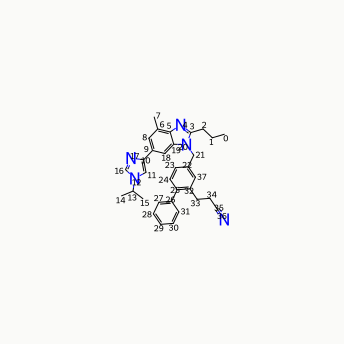 CCCc1nc2c(C)cc(-c3cn(C(C)C)cn3)cc2n1Cc1ccc(-c2ccccc2)c(CCC#N)c1